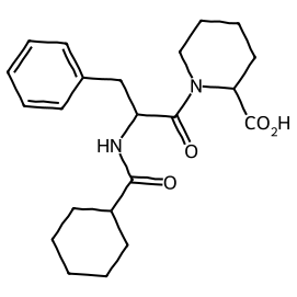 O=C(NC(Cc1ccccc1)C(=O)N1CCCCC1C(=O)O)C1CCCCC1